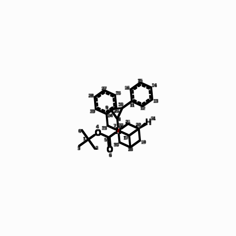 CC(C)(C)OC(=O)N(C1CC1c1ccccc1)C1C2C[C@H]1CN(Cc1ccccc1)C2